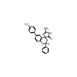 C[C@]1(c2ccccc2)CC2(N=C(N)NC2=O)c2cc(-c3ccc(C(F)(F)F)cc3)ccc2O1